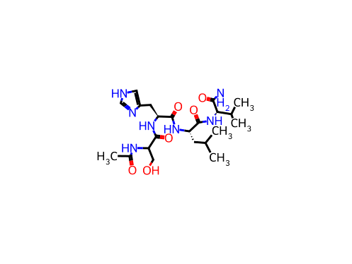 CC(=O)NC(CO)C(=O)N[C@@H](Cc1c[nH]cn1)C(=O)N[C@@H](CC(C)C)C(=O)N[C@H](C(N)=O)C(C)C